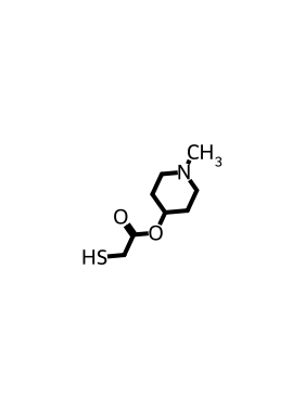 CN1CCC(OC(=O)CS)CC1